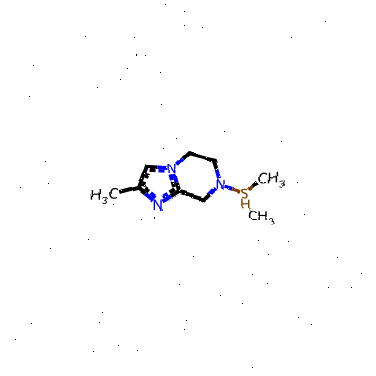 Cc1cn2c(n1)CN([SH](C)C)CC2